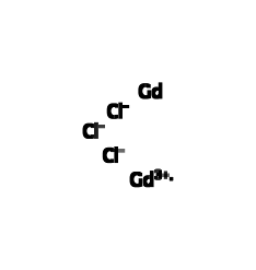 [Cl-].[Cl-].[Cl-].[Gd+3].[Gd]